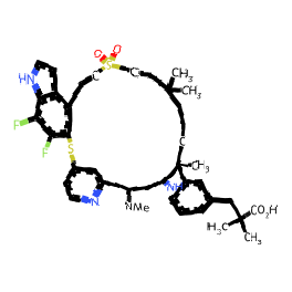 CNC1CC(=N)[C@@](C)(c2cccc(CC(C)(C)C(=O)O)c2)CCCC(C)(C)CCS(=O)(=O)CCc2c(c(F)c(F)c3[nH]ccc23)Sc2ccnc1c2